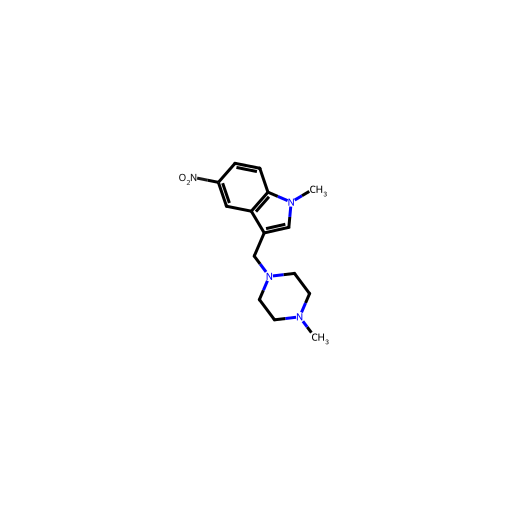 CN1CCN(Cc2cn(C)c3ccc([N+](=O)[O-])cc23)CC1